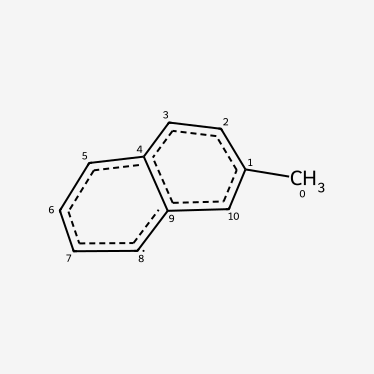 Cc1ccc2ccc[c]c2c1